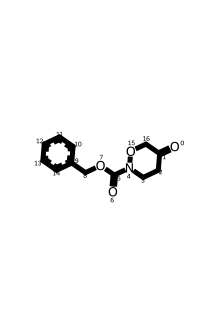 O=C1CCN(C(=O)OCc2ccccc2)OC1